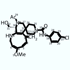 C=C1/C=C\C(OC)=C/CNC2=C1C1(CCN(C(=O)Nc3ccc(Cl)cc3)CC1)CN(C(C)=O)[C@H]2CO